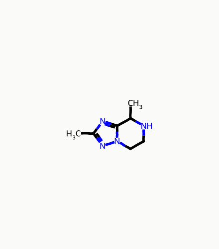 Cc1nc2n(n1)CCNC2C